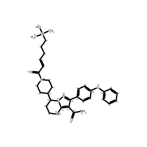 C[Si](C)(O)CCC/C=C/C(=O)N1CCC(C2CCNc3c(C(N)=O)c(-c4ccc(Oc5ccccc5)cc4)nn32)CC1